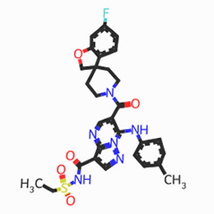 CCS(=O)(=O)NC(=O)c1cnn2c(Nc3ccc(C)cc3)c(C(=O)N3CCC4(CC3)COc3cc(F)ccc34)cnc12